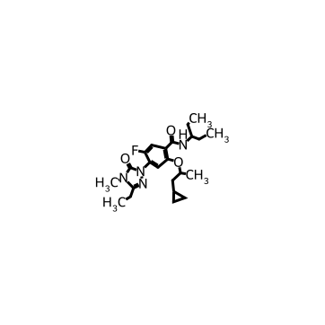 CCc1nn(-c2cc(OC(C)CC3CC3)c(C(=O)NC(CC)CC)cc2F)c(=O)n1C